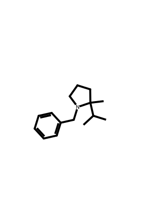 CC(C)C1(C)CCCN1Cc1ccccc1